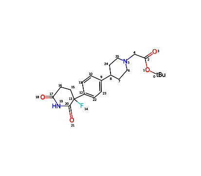 CC(C)(C)OC(=O)CN1CCC(c2ccc(C3(F)CCC(=O)NC3=O)cc2)CC1